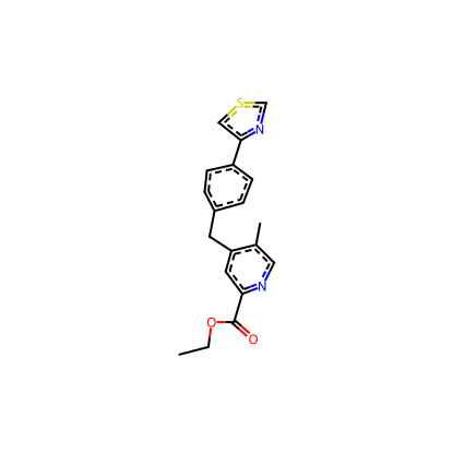 CCOC(=O)c1cc(Cc2ccc(-c3cscn3)cc2)c(C)cn1